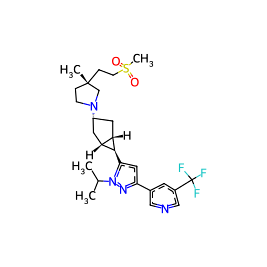 CC(C)n1nc(-c2cncc(C(F)(F)F)c2)cc1[C@H]1[C@@H]2C[C@H](N3CC[C@](C)(CCS(C)(=O)=O)C3)C[C@@H]21